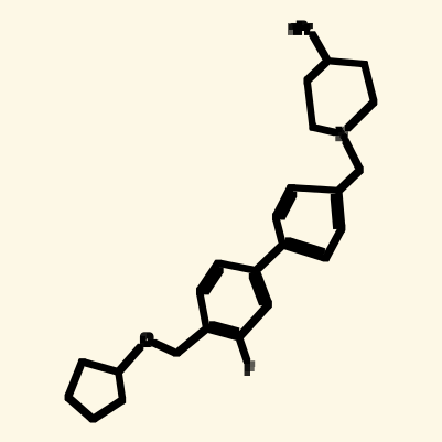 CCCC1CCN(Cc2ccc(-c3ccc(COC4CCCC4)c(F)c3)cc2)CC1